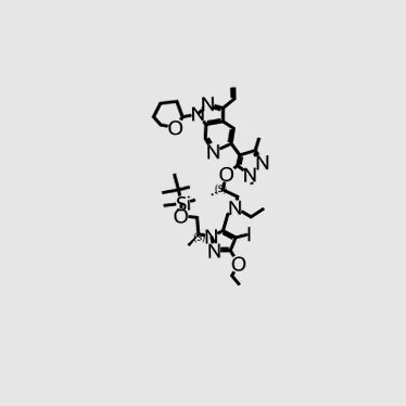 C=Cc1nn(C2CCCCO2)c2cnc(-c3c(C)nn(C)c3O[C@@H](C)CN(CC)Cc3c(I)c(OCC)nn3[C@@H](C)CO[Si](C)(C)C(C)(C)C)cc12